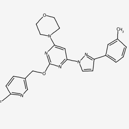 Cc1cccc(-c2ccn(-c3cc(N4CCOCC4)nc(OCc4ccc(F)nc4)n3)n2)c1